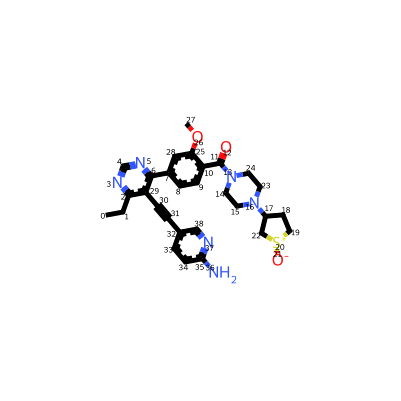 CCc1ncnc(-c2ccc(C(=O)N3CCN(C4CC[S+]([O-])C4)CC3)c(OC)c2)c1C#Cc1ccc(N)nc1